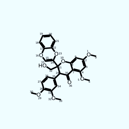 COc1cc(OC)c2c(c1)OC(CO)(C1=COc3ccccc3O1)C(c1ccc(OC)c(OC)c1)C2=O